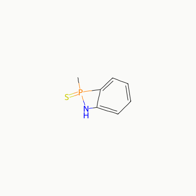 CP1(=S)Nc2ccccc21